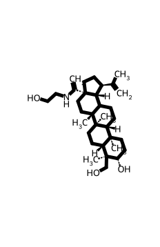 C=C(C)[C@@H]1CC[C@]2(C(=C)NCCO)CC[C@]3(C)C(CC[C@@H]4[C@@]5(C)CC[C@H](O)[C@@](C)(CO)[C@@H]5CC[C@]43C)[C@@H]12